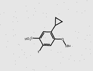 CCCCOc1cc(F)c(C(=O)O)cc1C1CC1